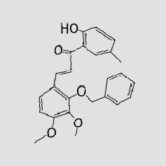 COc1ccc(/C=C/C(=O)c2cc(C)ccc2O)c(OCc2ccccc2)c1OC